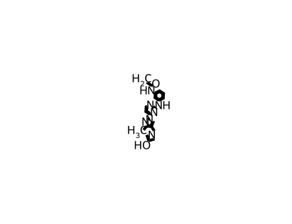 C=CC(=O)Nc1cccc(Nc2nccc(-n3cc(CN4CC(O)C4)c(C)n3)n2)c1